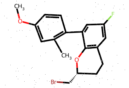 COc1ccc(-c2cc(F)cc3c2O[C@@H](CBr)CC3)c(C)c1